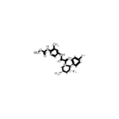 Cc1cc(NC(=O)C(=O)N2C[C@@H](C)C[C@@H](F)[C@@H]2c2ccc(F)cc2)cnc1NC(=O)OC(C)(C)C